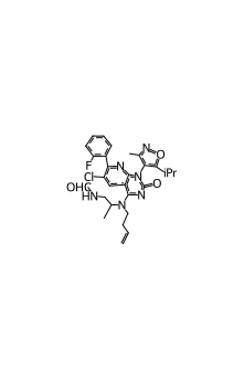 C=CCCN(c1nc(=O)n(-c2c(C)noc2C(C)C)c2nc(-c3ccccc3F)c(Cl)cc12)C(C)CNC=O